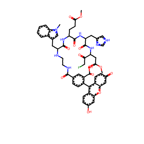 COC(=O)CCC(NC(=O)C(Cc1cn(C)c2ccccc12)NCCNC(=O)c1ccc(-c2c3ccc(=O)cc-3oc3cc(O)ccc23)c(C(=O)O)c1)C(=O)NC(Cc1c[nH]cn1)C(=O)NC(CC(=O)OC)C(=O)CF